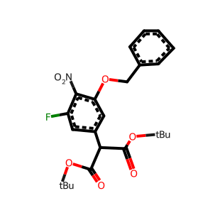 CC(C)(C)OC(=O)C(C(=O)OC(C)(C)C)c1cc(F)c([N+](=O)[O-])c(OCc2ccccc2)c1